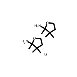 CC1(C)CCOC1(C)N.CC1(C)CCOC1(C)N.[Li]